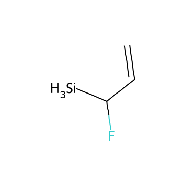 C=CC(F)[SiH3]